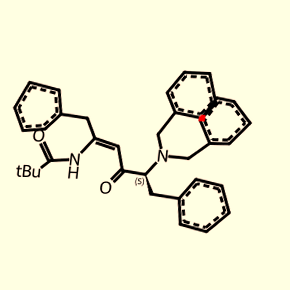 CC(C)(C)C(=O)NC(=CC(=O)[C@H](Cc1ccccc1)N(Cc1ccccc1)Cc1ccccc1)Cc1ccccc1